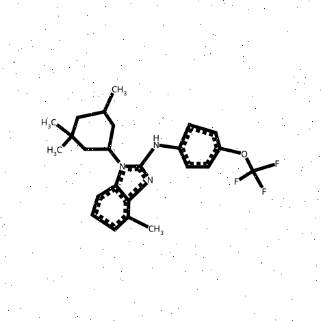 Cc1cccc2c1nc(Nc1ccc(OC(F)(F)F)cc1)n2C1CC(C)CC(C)(C)C1